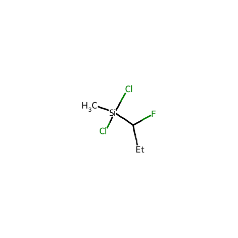 CCC(F)[Si](C)(Cl)Cl